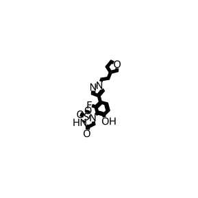 O=C1CN(c2c(O)ccc(-c3cnn(CCC4CCOC4)c3)c2F)S(=O)(=O)N1